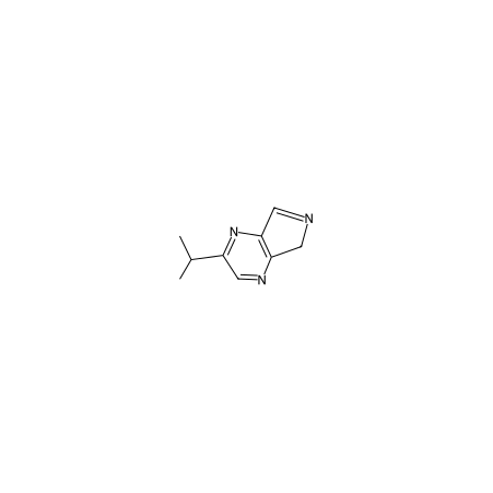 CC(C)c1cnc2c(n1)C=NC2